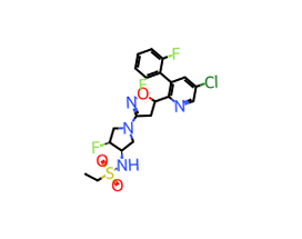 CCS(=O)(=O)N[C@@H]1CN(C2=NOC(c3ncc(Cl)cc3-c3c(F)cccc3F)C2)C[C@@H]1F